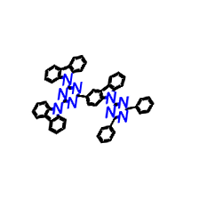 c1ccc(-c2nc(-c3ccccc3)nc(-n3c4ccccc4c4cc(-c5nc(-n6c7ccccc7c7ccccc76)nc(-n6c7ccccc7c7ccccc76)n5)ccc43)n2)cc1